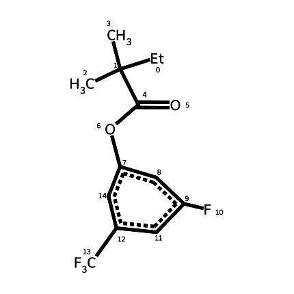 CCC(C)(C)C(=O)Oc1cc(F)cc(C(F)(F)F)c1